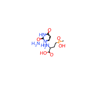 CP(=O)(O)CCC(N)C(=O)O.N.O=c1cc[nH]c(=O)[nH]1